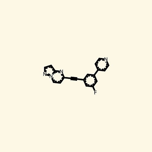 Fc1cc(C#Cc2ccn3nccc3n2)cc(-c2ccncc2)c1